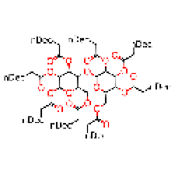 CCCCCCCCCCCC(=O)OC[C@H]1O[C@@H](O[C@H]2[C@H](OC(=O)CCCCCCCCCCC)[C@@H](OC(=O)CCCCCCCCCCC)[C@H](OC(=O)CCCCCCCCCCC)O[C@@H]2COC(=O)CCCCCCCCCCC)[C@H](OC(=O)CCCCCCCCCCC)[C@@H](OC(=O)CCCCCCCCCCC)[C@@H]1OC(=O)CCCCCCCCCCC